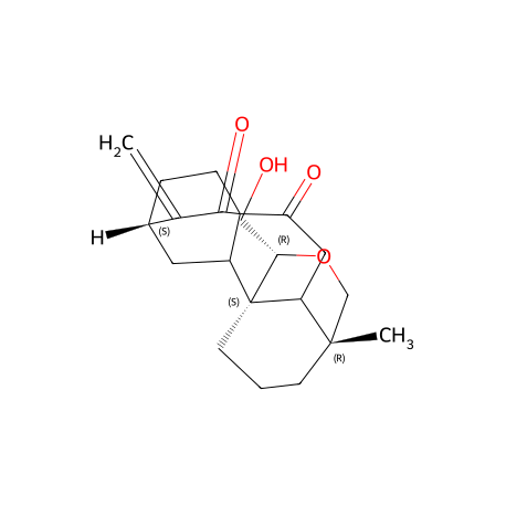 C=C1C(=O)C23CC[C@H]1CC2[C@@]12CCC[C@@](C)(CO[C@H]1CO)C2CC3=O